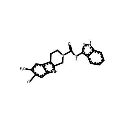 O=C(Nc1n[nH]c2ccccc12)N1CCc2c([nH]c3cc(Cl)c(C(F)(F)F)cc23)C1